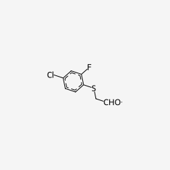 O=[C]CSc1ccc(Cl)cc1F